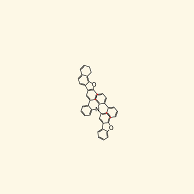 C1=Cc2ccc3c(oc4ccc(-c5ccccc5N(c5ccc6oc7ccccc7c6c5)c5ccccc5-c5ccccc5)cc43)c2CC1